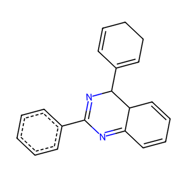 C1=CC2=NC(c3ccccc3)=NC(C3=CCCC=C3)C2C=C1